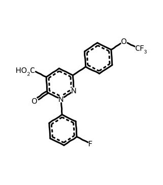 O=C(O)c1cc(-c2ccc(OC(F)(F)F)cc2)nn(-c2cccc(F)c2)c1=O